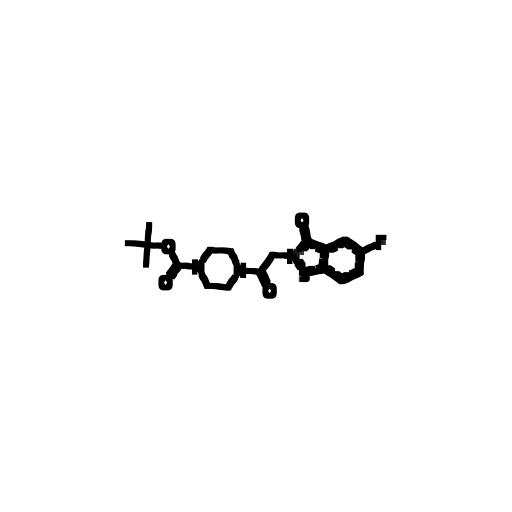 CC(C)(C)OC(=O)N1CCN(C(=O)Cn2sc3ccc(F)cc3c2=O)CC1